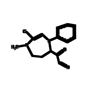 CN1CCC(C(=O)C=O)N(c2ccccc2)C=C1Cl